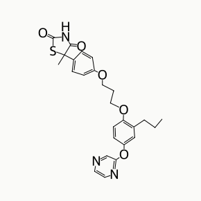 CCCc1cc(Oc2cnccn2)ccc1OCCCOc1ccc(C2(C)SC(=O)NC2=O)cc1